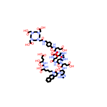 O=C(O)CCC(NC(=O)NC(CCCCNC(=O)C(Cc1ccc2ccccc2c1)NC(=O)C(Cc1c[nH]cn1)NC(=O)C(CCC(=O)O)NC(=O)C(Cc1c[nH]cn1)NC(=O)C(CCC(=O)O)NC(=O)C(Cc1c[nH]cn1)NC(=O)C(CCC(=O)O)NC(=O)C1CCC(CNC(=O)CN2CCN(CC(=O)O)CCN(CC(=O)O)CCN(CC(=O)O)CC2)CC1)C(=O)O)C(=O)O